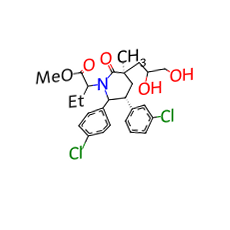 CCC(C(=O)OC)N1C(=O)[C@@](C)(CC(O)CO)C[C@H](c2cccc(Cl)c2)C1c1ccc(Cl)cc1